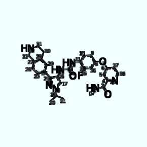 CNC(=O)c1cc(Oc2ccc(NC(=O)Nc3cn(C(C)C)nc3-c3ccc4c(c3)CCNC4)c(F)c2)ccn1